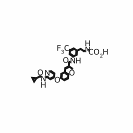 O=C(O)NCCc1cc(NC(=O)C2=Cc3cc(Oc4ccnc(NC(=O)C5CC5)c4)ccc3OC2)cc(C(F)(F)F)c1